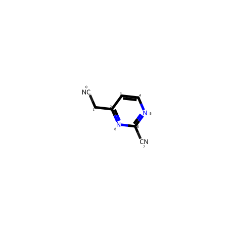 N#CCc1ccnc(C#N)n1